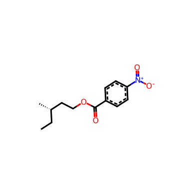 CC[C@H](C)CCOC(=O)c1ccc([N+](=O)[O-])cc1